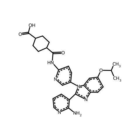 CC(C)Oc1ccc2nc(-c3cccnc3N)n(-c3ccc(NC(=O)C4CCC(C(=O)O)CC4)nc3)c2c1